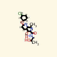 C=C(O)CNC(=O)c1nc(C)c2nc(Oc3cccc(Cl)c3)ccc2c1O